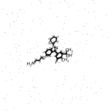 Cc1c(F)cc(-c2nn(C3CCCCO3)c3ccc(OCCCN)cc23)cc1C(C)O